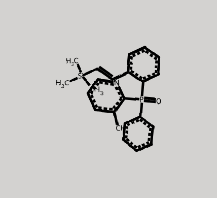 Cc1cccnc1P(=O)(c1ccccc1)c1ccccc1C=C[Si](C)(C)C